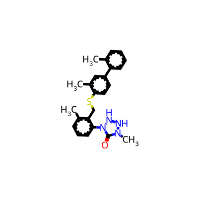 Cc1cc(-c2ccccc2C)ccc1SCc1c(C)cccc1N1NNN(C)C1=O